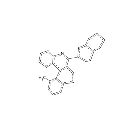 Cc1cccc2ccc3c(-c4ccc5ccccc5c4)nc4ccccc4c3c12